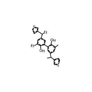 CCc1cc(C(CC)c2ccsc2)cc(-c2cc(C(C)c3ccsc3)cc(C)c2O)c1O